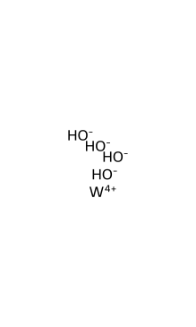 [OH-].[OH-].[OH-].[OH-].[W+4]